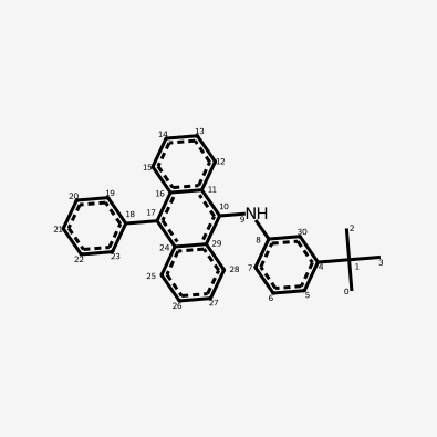 CC(C)(C)c1cccc(Nc2c3ccccc3c(-c3ccccc3)c3ccccc23)c1